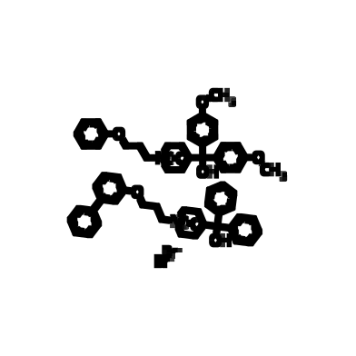 COc1ccc(C(O)(c2ccc(OC)cc2)C23CC[N+](CCCOc4ccccc4)(CC2)CC3)cc1.OC(c1ccccc1)(c1ccccc1)C12CC[N+](CCCOc3cccc(-c4ccccc4)c3)(CC1)CC2.[Br-].[Br-]